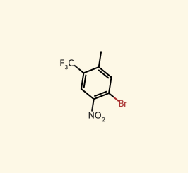 Cc1cc(Br)c([N+](=O)[O-])cc1C(F)(F)F